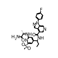 CCC(NC(=O)c1cncc2c1cnn2-c1ccc(F)cc1)c1cc(N[C@@H](C)C(N)=O)nc(S(C)(=O)=O)c1